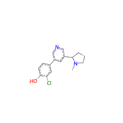 CN1CCCC1c1cncc(-c2ccc(O)c(Cl)c2)c1